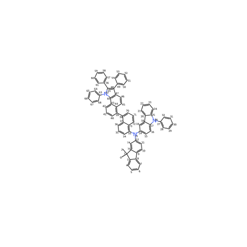 CC1(C)c2ccccc2-c2ccc(N(c3ccc4c(c3)c3ccccc3n4-c3ccccc3)c3cccc4c(-c5cccc6c5ccc5c(-c7ccccc7)c(-c7ccccc7)n(-c7ccccc7)c56)cccc34)cc21